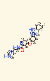 Cc1ccc(Nc2nc3cc(Oc4ccnc(C(=O)NCCN5CCNCC5)c4)ccc3n2C)cc1